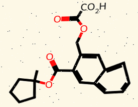 CC1(OC(=O)c2cc3ccccc3cc2COC(=O)C(=O)O)CCCC1